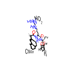 COc1ccc2cc([C@H](C)C(=O)N[C@@H](CCCNC3NN3[N+](=O)[O-])C(=O)N[C@@H](CC(C)C)B3O[C@@H]4C[C@@H]5C[C@@H](C5(C)C)[C@]4(C)O3)ccc2c1